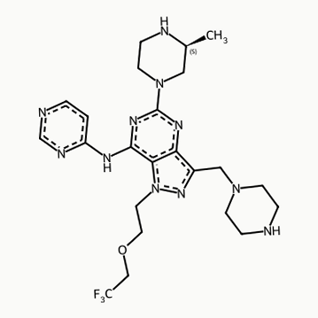 C[C@H]1CN(c2nc(Nc3ccncn3)c3c(n2)c(CN2CCNCC2)nn3CCOCC(F)(F)F)CCN1